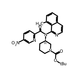 Cc1cccc2ccnc(N(C(=O)c3ccc([N+](=O)[O-])cn3)[C@@H]3CCCN(C(=O)OC(C)(C)C)C3)c12